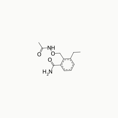 CCc1cccc(C(N)=O)c1CONC(C)=O